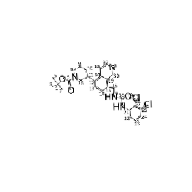 CC(C)(C)OC(=O)N1CCC=C(c2ccc(CNC(=O)Nc3cccc(Cl)c3Cl)c3cnccc23)C1